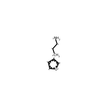 CCCN.c1ccoc1